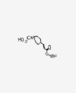 CC(C)(C)OC(=O)/C=C/C1CCN(C(=O)O)CC1